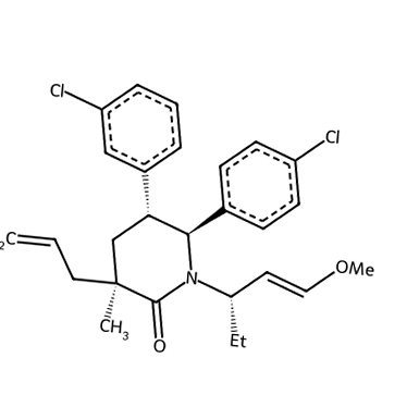 C=CC[C@@]1(C)C[C@H](c2cccc(Cl)c2)[C@@H](c2ccc(Cl)cc2)N([C@H](C=COC)CC)C1=O